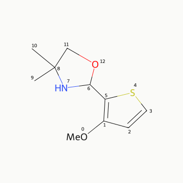 COc1ccsc1C1NC(C)(C)CO1